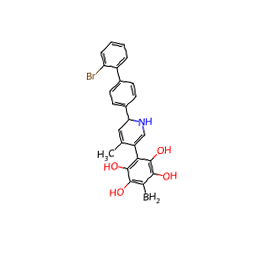 Bc1c(O)c(O)c(C2=CNC(c3ccc(-c4ccccc4Br)cc3)C=C2C)c(O)c1O